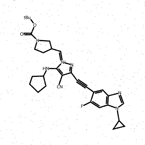 CC(C)(C)OC(=O)N1CCC(/C=[N+]2/N=C(C#Cc3cc4ncn(C5CC5)c4cc3F)C(C#N)=C2NC2CCCC2)C1